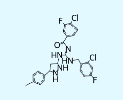 Cc1ccc(C2CC(N/C(=N\C(=O)c3ccc(Cl)c(F)c3)NCc3ccc(F)cc3Cl)NN2)cc1